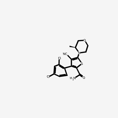 C[C@H]1COCCN1c1sc(C(N)=O)c(-c2ccc(Cl)cc2Cl)c1C#N